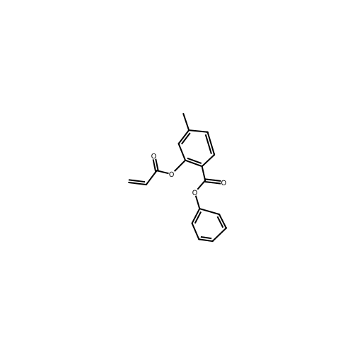 C=CC(=O)Oc1cc(C)ccc1C(=O)Oc1ccccc1